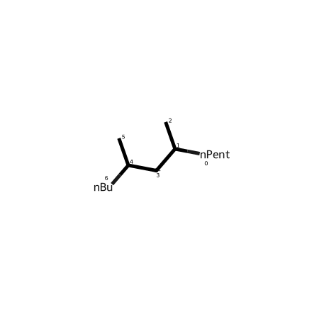 CCCCCC(C)[CH]C(C)CCCC